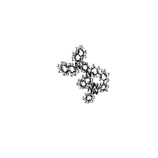 c1ccc(-c2ccc3c4cc5c6c7ccccc7ccc6n(-c6ccc7ccccc7c6)c5cc4n(-c4cc(-c5nc(-c6ccccc6)nc(-c6ccccc6)n5)c5ccccc5c4)c3c2)cc1